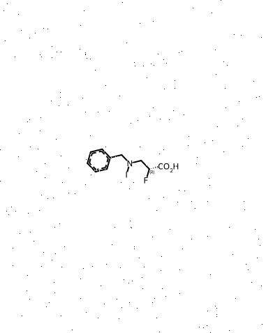 O=C(O)[C@H](F)CN(I)Cc1ccccc1